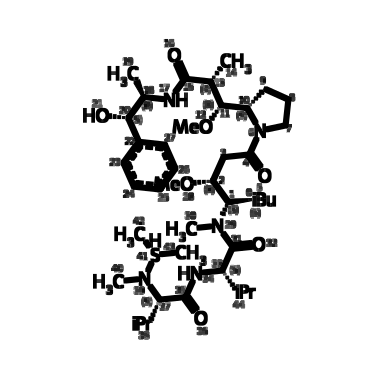 CC[C@H](C)[C@@H]([C@@H](CC(=O)N1CCC[C@H]1[C@H](OC)[C@@H](C)C(=O)N[C@H](C)[C@@H](O)c1ccccc1)OC)N(C)C(=O)[C@@H](NC(=O)[C@H](C(C)C)N(C)[SH](C)C)C(C)C